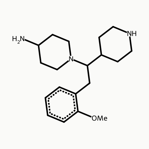 COc1ccccc1CC(C1CCNCC1)N1CCC(N)CC1